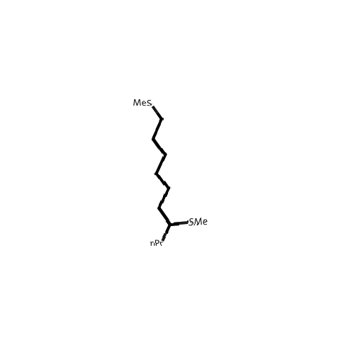 CCCC(CCCCCCSC)SC